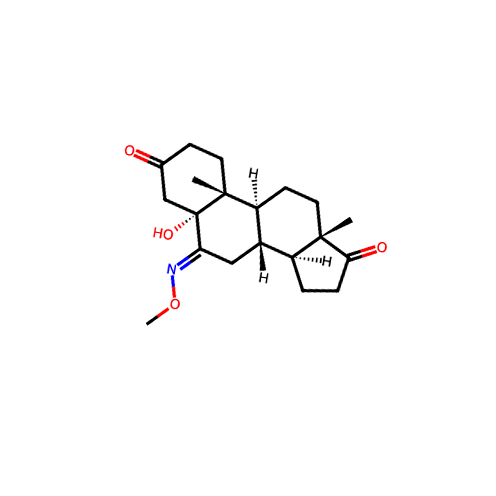 CO/N=C1\C[C@H]2[C@@H]3CCC(=O)[C@@]3(C)CC[C@@H]2[C@@]2(C)CCC(=O)C[C@]12O